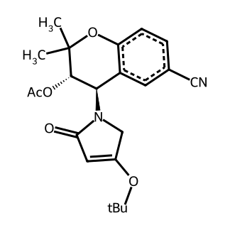 CC(=O)O[C@H]1[C@H](N2CC(OC(C)(C)C)=CC2=O)c2cc(C#N)ccc2OC1(C)C